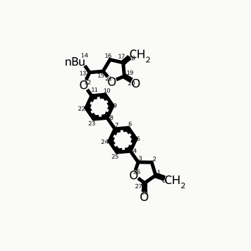 C=C1CC(c2ccc(-c3ccc(OC(CCCC)C4CC(=C)C(=O)O4)cc3)cc2)OC1=O